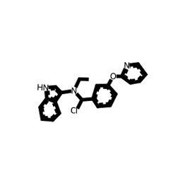 CCN(c1c[nH]c2ccccc12)C(Cl)c1cccc(Oc2ccccn2)c1